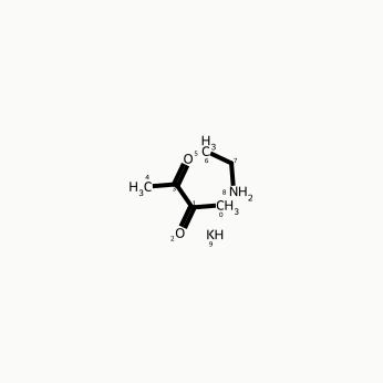 CC(=O)C(C)=O.CCN.[KH]